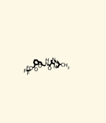 Cc1cnc2c(C(=O)NCc3cc4cccc(C(=O)OCC(F)(F)F)c4o3)cnn2c1